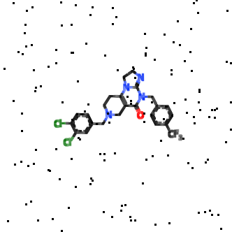 O=C1C2=C(CCN(Cc3ccc(Cl)c(Cl)c3)C2)N2CCN=C2N1Cc1ccc(C(F)(F)F)cc1